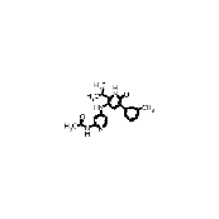 CC(=O)Nc1cc(Nc2cc(-c3cccc(C)c3)c(=O)[nH]c2C(C)C)ccn1